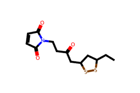 CCC1CC(CC(=O)CCN2C(=O)C=CC2=O)SS1